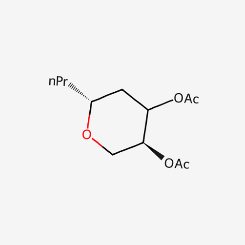 CCC[C@@H]1CC(OC(C)=O)[C@@H](OC(C)=O)CO1